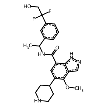 COc1c(C2CCNCC2)cc(C(=O)NC(C)c2cccc(C(F)(F)CO)c2)c2[nH]ncc12